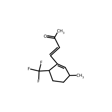 CC(=O)C=CC1=CC(C)CCC1C(F)(F)F